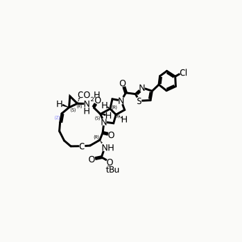 CC(C)(C)OC(=O)N[C@@H]1CCCCC/C=C\[C@@H]2C[C@@]2(C(=O)O)NC(=O)[C@@H]2[C@H]3CN(C(=O)c4nc(-c5ccc(Cl)cc5)cs4)C[C@H]3CN2C1=O